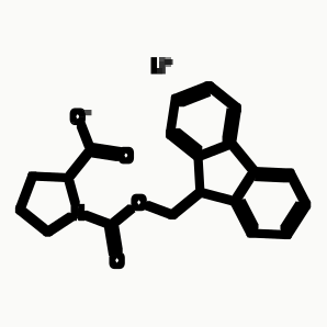 O=C([O-])C1CCCN1C(=O)OCC1c2ccccc2-c2ccccc21.[Li+]